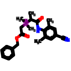 Cc1cc(C#N)cc(C)c1NC(=O)C(C)[PH](C)(C)CC(=O)OCc1ccccc1